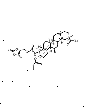 CCC(=O)O[C@H]1CC[C@@]2(C)[C@@H](CC[C@]3(C)[C@@H]2C(=O)C=C2[C@@H]4C[C@@](C)(C(=O)O)CC[C@]4(C)CC[C@]23C)[C@]1(C)NC(=O)OCc1oc(=O)oc1C